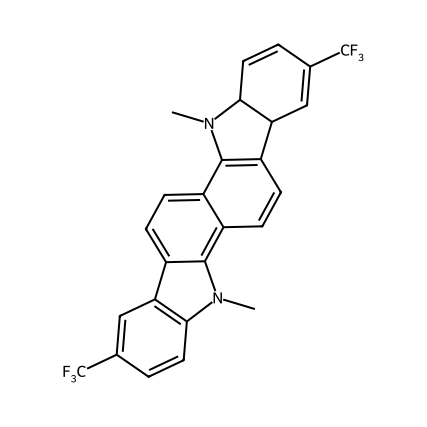 CN1c2c(ccc3c2ccc2c4cc(C(F)(F)F)ccc4n(C)c32)C2C=C(C(F)(F)F)C=CC21